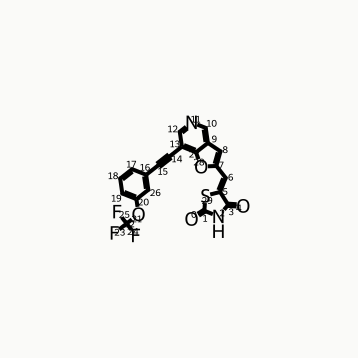 O=C1NC(=O)C(=Cc2cc3cncc(C#Cc4cccc(OC(F)(F)F)c4)c3o2)S1